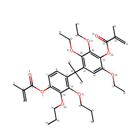 C=C(C)C(=O)Oc1ccc(C(C)(C)c2cc(OCC)c(OC(=O)C(=C)C)c(OCC)c2OCC)c(OCCC)c1OCCC